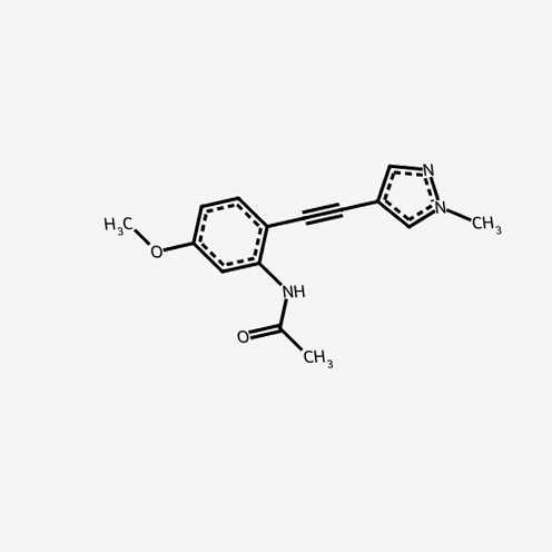 COc1ccc(C#Cc2cnn(C)c2)c(NC(C)=O)c1